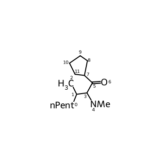 CCCCCC(C)C(NC)C(=O)C1CCCC1